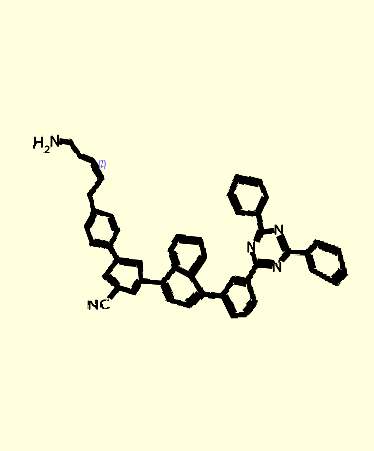 N#Cc1cc(-c2ccc(C/C=C\CCN)cc2)cc(-c2ccc(-c3cccc(-c4nc(-c5ccccc5)nc(-c5ccccc5)n4)c3)c3ccccc23)c1